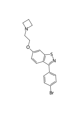 Brc1ccc(-c2nsc3cc(OCCN4CCC4)ccc23)cc1